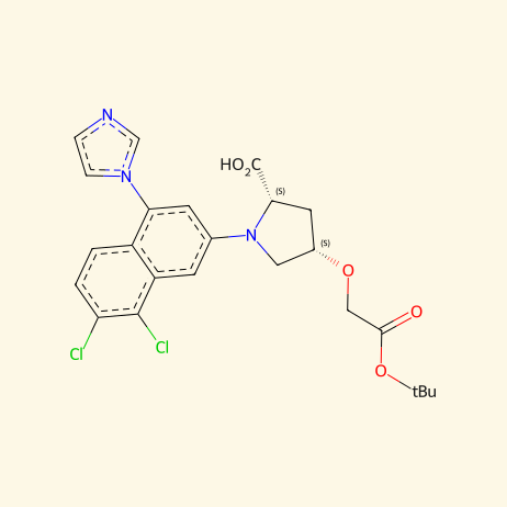 CC(C)(C)OC(=O)CO[C@H]1C[C@@H](C(=O)O)N(c2cc(-n3ccnc3)c3ccc(Cl)c(Cl)c3c2)C1